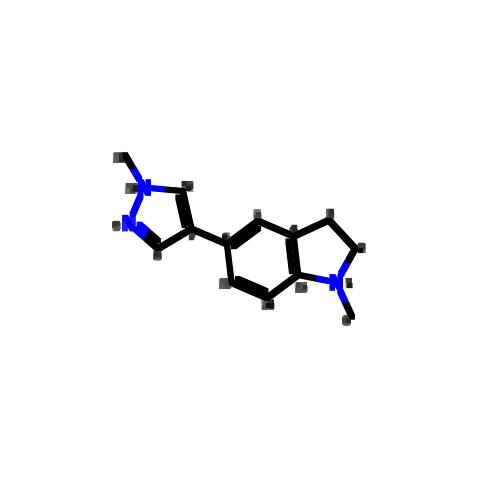 CN1CCc2cc(-c3cnn(C)c3)ccc21